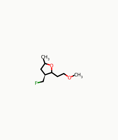 COCCC1OC(C)C[C@@H]1CF